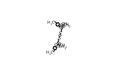 CCc1ccc(O[Si](CCCSSSSCCC[Si](OC)(OC)Oc2ccc(CC)cc2)(OC)OC)cc1